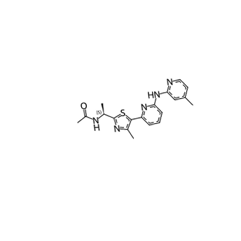 CC(=O)N[C@@H](C)c1nc(C)c(-c2cccc(Nc3cc(C)ccn3)n2)s1